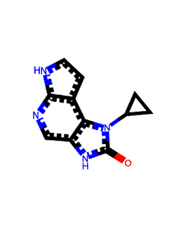 O=c1[nH]c2cnc3[nH]ccc3c2n1C1CC1